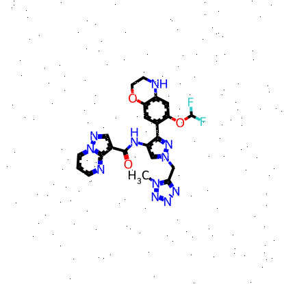 Cn1nnnc1Cn1cc(NC(=O)c2cnn3cccnc23)c(-c2cc3c(cc2OC(F)F)NCCO3)n1